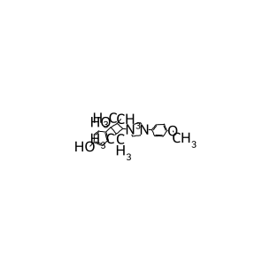 COc1ccc(N2CCN(C3C(C)(C)C(O)(c4ccc(O)cc4)C3(C)C)CC2)cc1